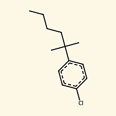 CCCCC(C)(C)c1ccc(Cl)cc1